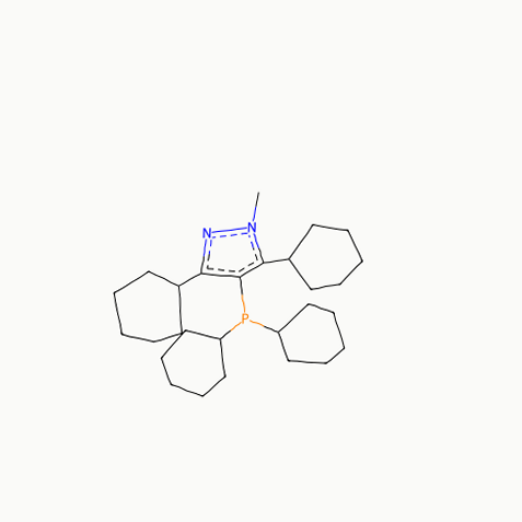 Cn1nc(C2CCCCC2)c(P(C2CCCCC2)C2CCCCC2)c1C1CCCCC1